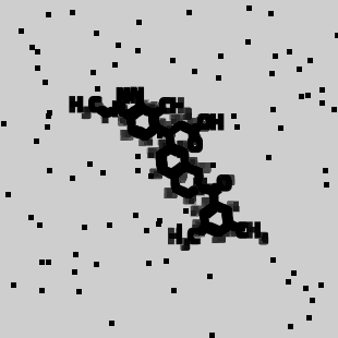 CCn1nnc2c(C)c([C@@H](CC(=O)O)c3ccc4c(c3)CN(C(=O)c3cc(C)cc(C)c3)CC4)ccc21